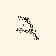 Cc1cc(S(=O)(=O)N[C@@H]2CCN(C(=O)O)C2)ccc1-c1ccc(C[C@H](NC(=O)[C@H]2CC[C@H](CNC(=O)OC(C)(C)C)CC2)C(=O)Nc2ccc(-c3nn[nH]n3)cc2)cc1